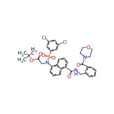 CC(C)(C)OC(=O)CN(c1cccc2c(C(=O)NCc3ccccc3C(=O)N3CCOCC3)cccc12)S(=O)(=O)c1cc(Cl)cc(Cl)c1